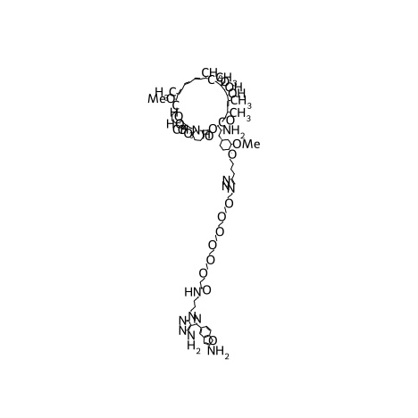 CO[C@H]1C[C@@H]2CC[C@@H](C)[C@@](O)(O2)C(=O)C(=O)N2CCCC[C@H]2C(=O)O[C@H]([C@H](N)C[C@@H]2CC[C@@H](OCCCCc3cn(CCOCCOCCOCCOCCOCCOCCC(=O)NCCCCn4nc(-c5ccc6oc(N)cc6c5)c5c(N)ncnc54)nn3)[C@H](OC)C2)CC(=O)[C@H](C)/C=C(\C)[C@@H](O)[C@@H](O)C(=O)[C@H](C)C[C@H](C)/C=C/C=C/C=C/1C